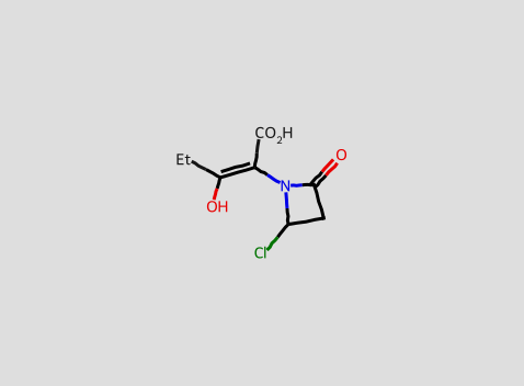 CCC(O)=C(C(=O)O)N1C(=O)CC1Cl